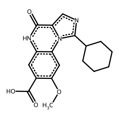 COc1cc2c(cc1C(=O)O)[nH]c(=O)c1cnc(C3CCCCC3)n12